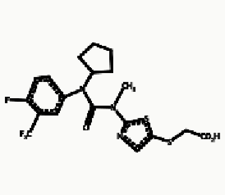 CN(C(=O)N(c1ccc(F)c(C(F)(F)F)c1)C1CCCC1)c1ncc(SCC(=O)O)s1